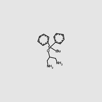 CC(C)(C)[Si](OC(CN)CN)(c1ccccc1)c1ccccc1